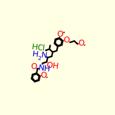 COCCCOc1cc(CC(CC(N)C(O)CNC(=O)c2ccccc2OC)C(C)C)ccc1OC.Cl